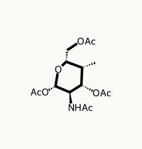 CC(=O)N[C@H]1[C@H](OC(C)=O)O[C@H](COC(C)=O)[C@H](C)[C@@H]1OC(C)=O